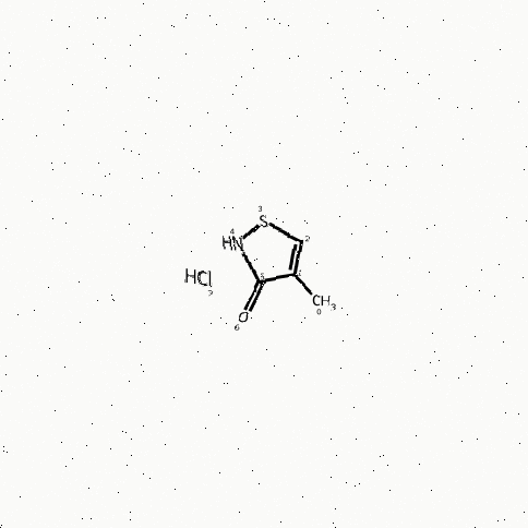 Cc1cs[nH]c1=O.Cl